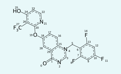 O=c1ncn(Cc2c(F)cc(F)cc2F)c2ccc(Oc3nccc(O)c3C(F)(F)F)cc12